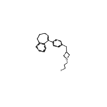 FCCCN1CC(Cc2ccc(C3=CCCCc4ccccc43)cc2)C1